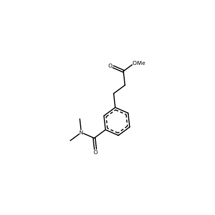 COC(=O)CCc1cccc(C(=O)N(C)C)c1